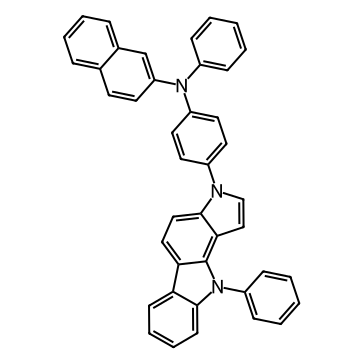 c1ccc(N(c2ccc(-n3ccc4c3ccc3c5ccccc5n(-c5ccccc5)c34)cc2)c2ccc3ccccc3c2)cc1